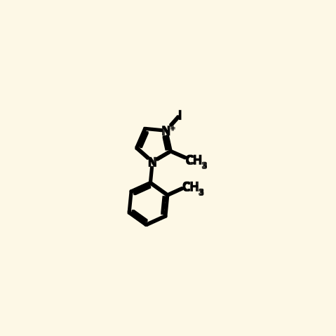 Cc1ccccc1-n1cc[n+](I)c1C